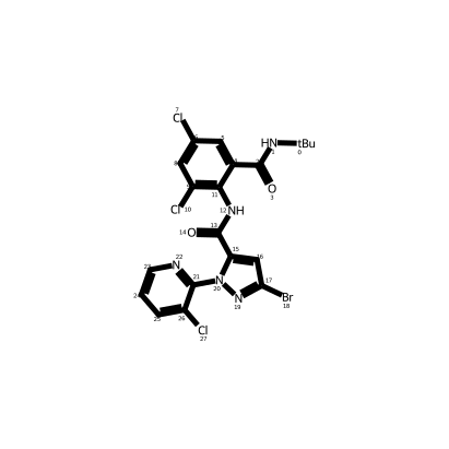 CC(C)(C)NC(=O)c1cc(Cl)cc(Cl)c1NC(=O)c1cc(Br)nn1-c1ncccc1Cl